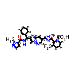 Cn1nccc1C(=O)N[C@H](c1cn2ncc(CNC(=O)C3C(C(F)(F)F)CCCN3C(=O)O)cc2n1)C1CCCCC1